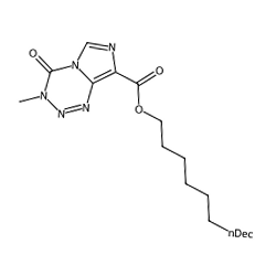 CCCCCCCCCCCCCCCCOC(=O)c1ncn2c(=O)n(C)nnc12